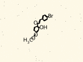 COCOc1ccc(C(=O)/C=C/c2ccc(Br)cc2)c(O)c1